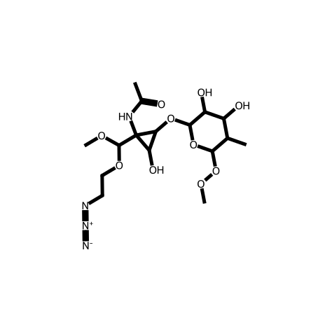 COOC1OC(OC2C(O)C2(NC(C)=O)C(OC)OCCN=[N+]=[N-])C(O)C(O)C1C